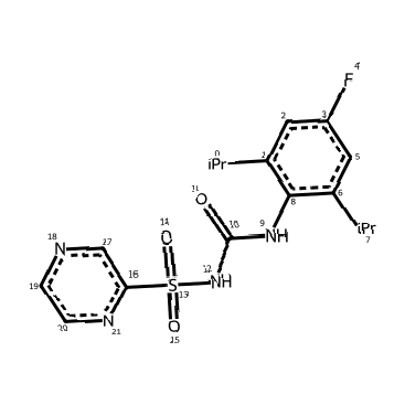 CC(C)c1cc(F)cc(C(C)C)c1NC(=O)NS(=O)(=O)c1cnccn1